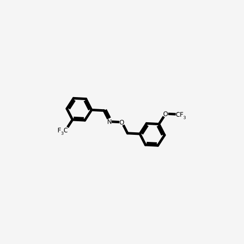 FC(F)(F)Oc1cccc(CON=[C]c2cccc(C(F)(F)F)c2)c1